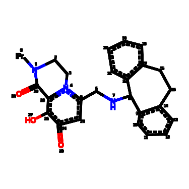 CC(C)N1CCn2c(CNC3c4ccccc4CCc4ccccc43)cc(=O)c(O)c2C1=O